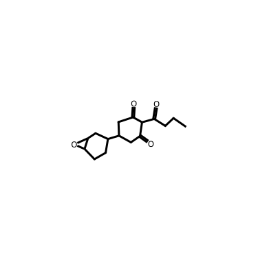 CCCC(=O)C1C(=O)CC(C2CCC3OC3C2)CC1=O